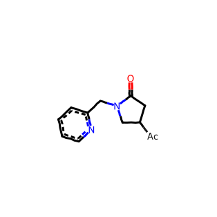 CC(=O)C1CC(=O)N(Cc2ccccn2)C1